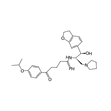 CC(C)Oc1ccc(C(=O)CCCC(=P)N[C@H](CN2CCCC2)[C@H](O)c2ccc3c(c2)OCC3)cc1